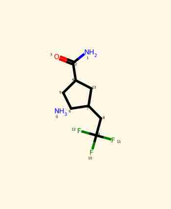 N.NC(=O)C1CCC(CC(F)(F)F)C1